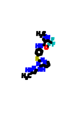 Cc1cc(Nc2nc(Sc3ccc(NC(=O)c4cn(C)nc4C(F)(F)F)cc3)nn3cccc23)n[nH]1